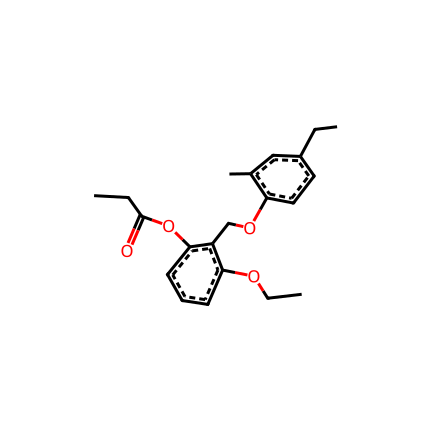 CCOc1cccc(OC(=O)CC)c1COc1ccc(CC)cc1C